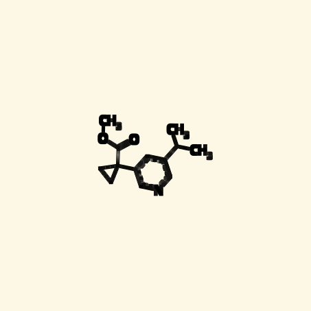 COC(=O)C1(c2cncc(C(C)C)c2)CC1